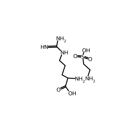 N=C(N)NCCCC(N)C(=O)O.NCCS(=O)(=O)O